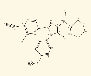 COc1ccc(-n2c(-c3ccc(C#N)c(F)c3)nc(C(=O)N3CCCCC3)c2F)cn1